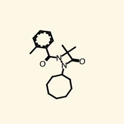 Cc1ccccc1C(=O)N1N(C2CCCCCCC2)C(=O)C1(C)C